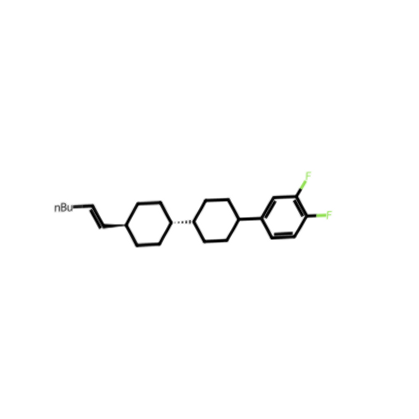 CCCC/C=C/[C@H]1CC[C@H](C2CCC(c3ccc(F)c(F)c3)CC2)CC1